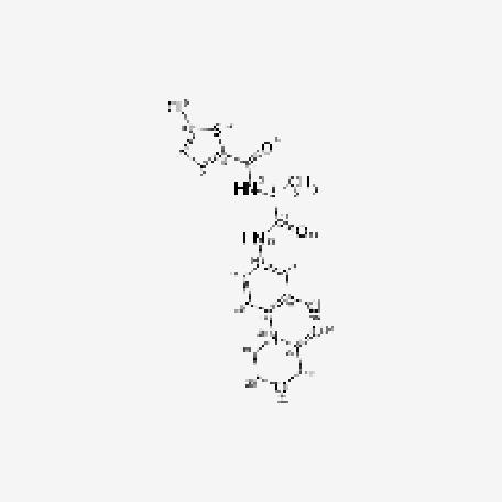 C[C@@H](NC(=O)c1ccc(Cl)s1)C(=O)Nc1ccc(N2CCOCC2=O)c(Cl)c1